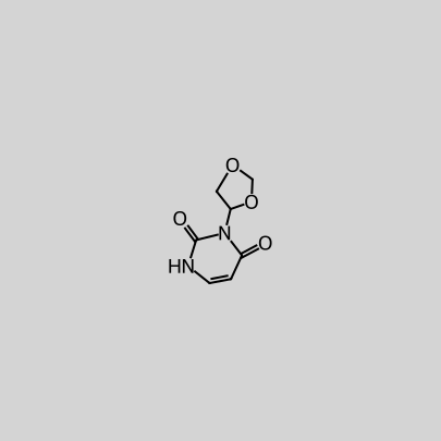 O=c1cc[nH]c(=O)n1C1COCO1